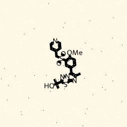 COc1ccc(-c2c(C)nc3sc(C(C)(C)O)nn23)cc1S(=O)(=O)Cc1ccncc1